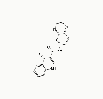 O=C(Nc1ccc2nccnc2c1)c1c[nH]c2ccccc2c1=O